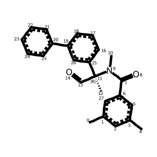 Cc1cc(C)cc(C(=O)N(C)[C@@](C)([C]=O)c2cccc(-c3ccccc3)c2)c1